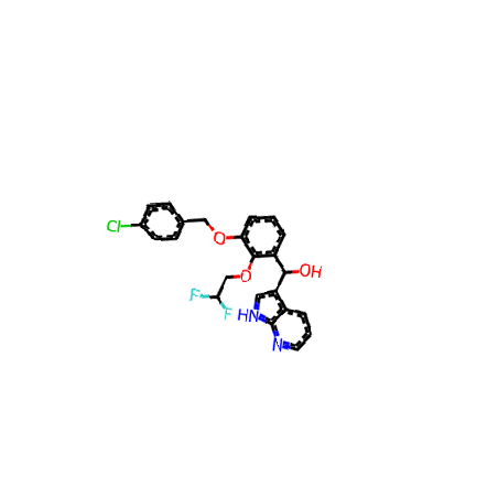 OC(c1cccc(OCc2ccc(Cl)cc2)c1OCC(F)F)c1c[nH]c2ncccc12